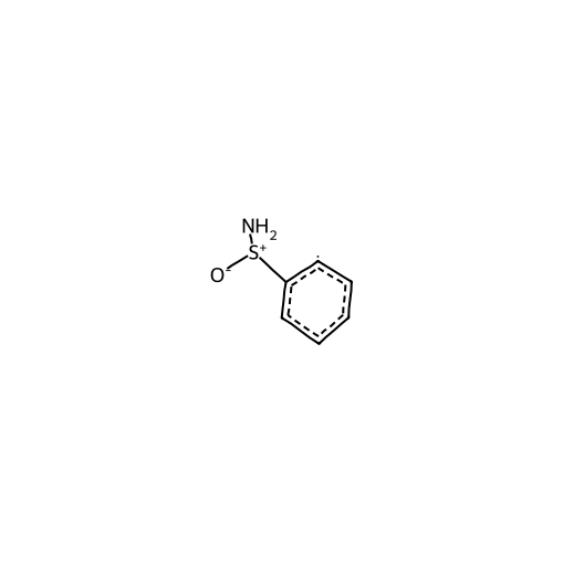 N[S+]([O-])c1[c]cccc1